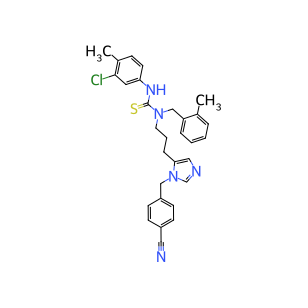 Cc1ccc(NC(=S)N(CCCc2cncn2Cc2ccc(C#N)cc2)Cc2ccccc2C)cc1Cl